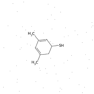 CC1=CC(S)CC(C)=C1